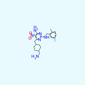 Cc1ccc(F)cc1CNc1nc(N)c([N+](=O)[O-])c(CC2CCC(CN)CC2)n1